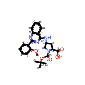 COc1ccccc1-c1nc(N[C@H]2CC(C(=O)O)N(C(=O)OC(C)(C)C)C2)c2ccccc2n1